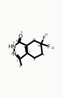 Cc1n[nH]c(=O)c2c1CCC(F)(F)C2